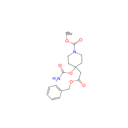 CC(C)(C)OC(=O)N1CCC(CC(=O)OCc2ccccc2)(OC(N)=O)CC1